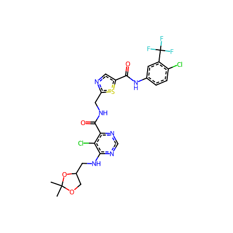 CC1(C)OCC(CNc2ncnc(C(=O)NCc3ncc(C(=O)Nc4ccc(Cl)c(C(F)(F)F)c4)s3)c2Cl)O1